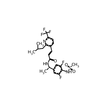 CC(C)Cc1nc(C(F)(F)F)ccc1/C=C/C(=O)N[C@H](C)c1cc(F)c(NS(C)(=O)=O)c(F)c1